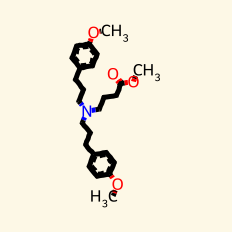 COC(=O)CCCN(CCCc1ccc(OC)cc1)CCCc1ccc(OC)cc1